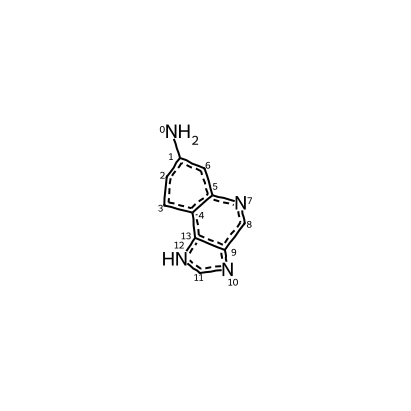 Nc1ccc2c(c1)ncc1nc[nH]c12